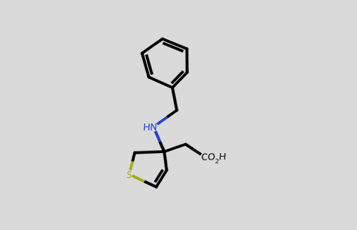 O=C(O)CC1(NCc2ccccc2)C=CSC1